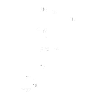 COc1cc(/C=C/C(=O)NCCOCCC(=O)NN)c([N+](=O)[O-])cc1OC